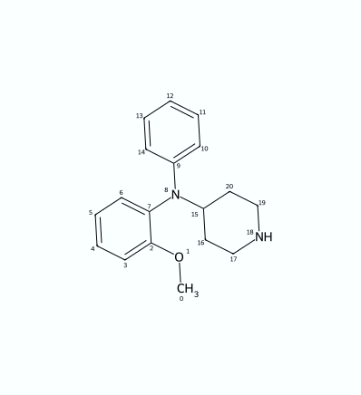 COc1ccccc1N(c1ccccc1)C1CCNCC1